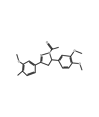 COc1cc(C2=NN(C(C)=O)C(c3ccc(OC)c(OC)c3)C2)ccc1C